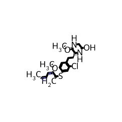 C=C(Sc1ccc(CC[C@@H]2NC(O)CN[C@@H]2OC)c(Cl)c1)/C(=C\C=C/C)OC